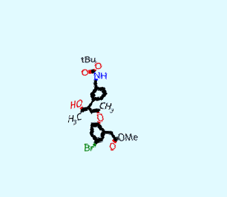 COC(=O)Cc1cc(Br)ccc1OC(C)=C/C(=C(\C)O)c1cccc(CNC(=O)OC(C)(C)C)c1